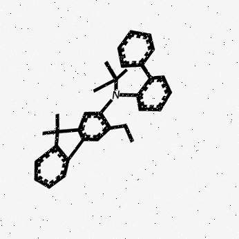 CCc1cc2c(cc1N(c1ccccc1-c1ccccc1)C(C)(C)C)C(C)(C)c1ccccc1-2